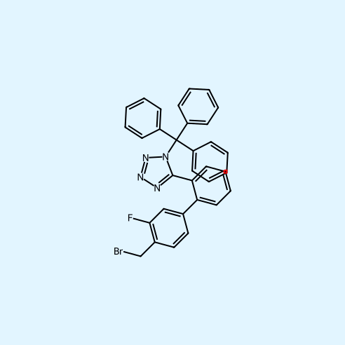 Fc1cc(-c2ccccc2-c2nnnn2C(c2ccccc2)(c2ccccc2)c2ccccc2)ccc1CBr